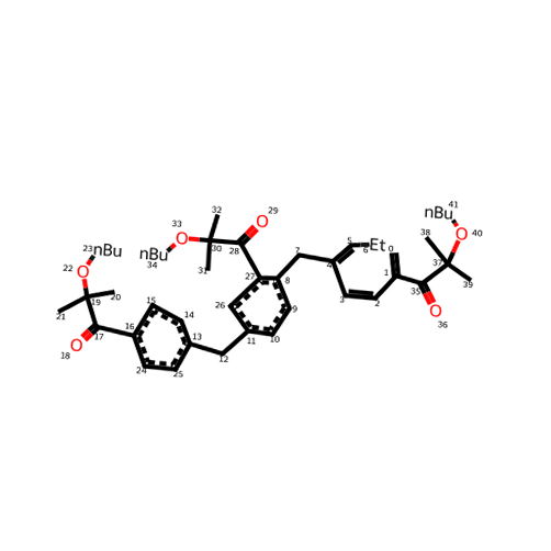 C=C(/C=C\C(=C/CC)Cc1ccc(Cc2ccc(C(=O)C(C)(C)OCCCC)cc2)cc1C(=O)C(C)(C)OCCCC)C(=O)C(C)(C)OCCCC